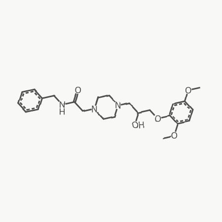 COc1ccc(OC)c(OCC(O)CN2CCN(CC(=O)NCc3ccccc3)CC2)c1